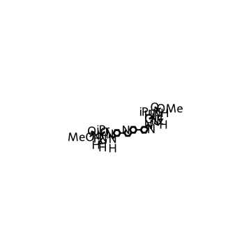 COC(=O)N[C@H](C(=O)N1[C@@H]2C[C@@H]2C[C@H]1c1nc2ccc(-c3ccc4nc(-c5ccc6nc([C@@H]7C[C@H]8C[C@H]8N7C(=O)[C@@H](NC(=O)OC)C(C)C)[nH]c6c5)ccc4c3)cc2[nH]1)C(C)C